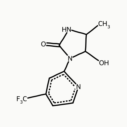 CC1NC(=O)N(c2cc(C(F)(F)F)ccn2)C1O